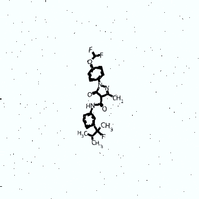 CC1=NN(c2ccc(OC(F)F)cc2)C(=O)C1C(=O)Nc1cccc(C(C)(F)C(C)C)c1